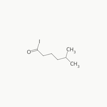 CC(C)CCCC(=O)I